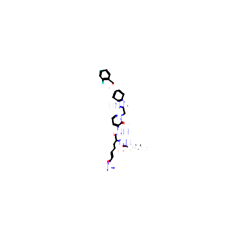 COC(=O)NC(CCC=CC(=O)N(C)C)C(=O)Nc1cccn(Cc2nc3ccc(OCc4ccc(F)cc4F)cc3[nH]2)c1=O